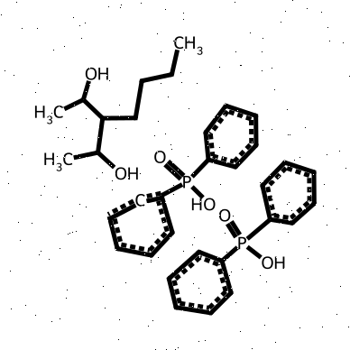 CCCCC(C(C)O)C(C)O.O=P(O)(c1ccccc1)c1ccccc1.O=P(O)(c1ccccc1)c1ccccc1